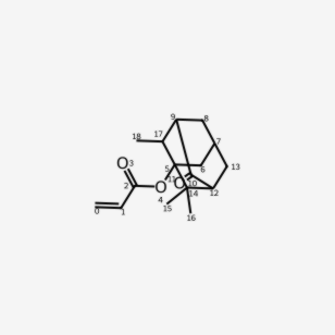 C=CC(=O)OC12CC3CC(C(=O)C(C3)C1(C)C)C2C